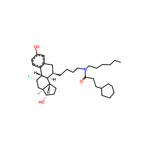 CCCCCCN(CCCC[C@@H]1Cc2cc(O)ccc2[C@@H]2[C@@H]1[C@@H]1CC[C@H](O)[C@@]1(C)C[C@@H]2F)C(=O)CCC1CCCCC1